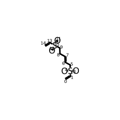 C=CS(=O)(=O)C/C=C/CCS(=O)(=O)C=C